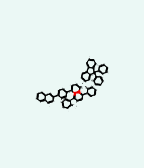 c1ccc(C2(c3ccccc3)c3ccccc3-c3ccc(N(c4ccc(-c5ccc(-c6ccc7ccccc7c6)cc5)cc4)c4ccccc4-c4ccc5c(c4)sc4ccccc45)cc32)cc1